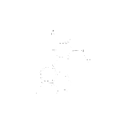 CCCCNc1nc(-c2ccc(F)c3ccccc23)cc(C(C)C)n1